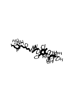 Cc1c(C(=O)N[C@H]2[C@@H](OO)O[C@H](CO)[C@@H](O)[C@@H]2O)cc(Cl)c(OCc2cn(CCCC(=O)CCC3C[C@H](F)CC(I)SC3NO)nn2)c1Cl